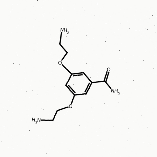 NCCOc1cc(OCCN)cc(C(N)=O)c1